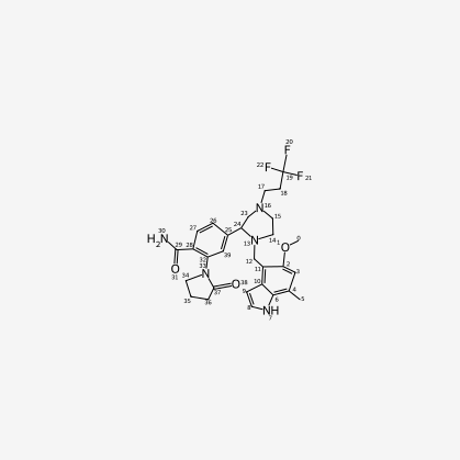 COc1cc(C)c2[nH]ccc2c1CN1CCN(CCC(F)(F)F)CC1c1ccc(C(N)=O)c(N2CCCC2=O)c1